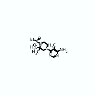 CCS(=O)(=O)N1CCN(c2ncnc(N)c2C)CC1(C)C